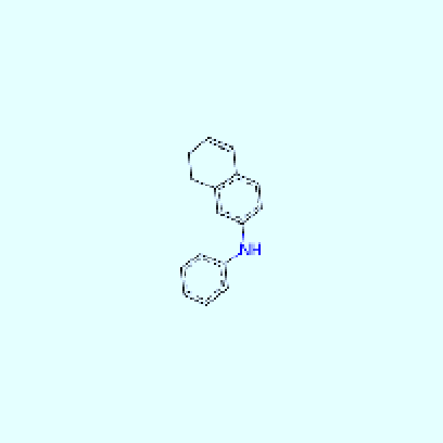 C1=Cc2ccc(Nc3ccccc3)cc2CC1